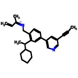 C=C/C(C)=N\Cc1ccc(-c2cncc(C#CC)c2)cc1C(C)C1CCCCC1